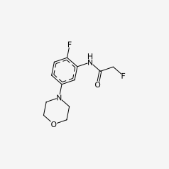 O=C(CF)Nc1cc(N2CCOCC2)ccc1F